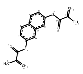 C=C(C)C(=O)Sc1ccc2ccc(SC(=O)C(=C)C)cc2c1